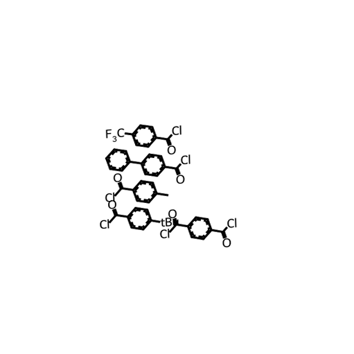 CC(C)(C)c1ccc(C(=O)Cl)cc1.Cc1ccc(C(=O)Cl)cc1.O=C(Cl)c1ccc(-c2ccccc2)cc1.O=C(Cl)c1ccc(C(=O)Cl)cc1.O=C(Cl)c1ccc(C(F)(F)F)cc1